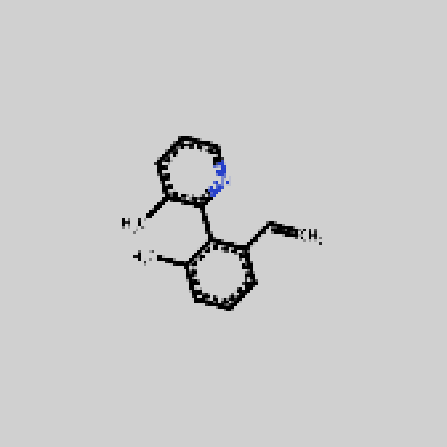 C=Cc1cccc(C)c1-c1ncccc1C